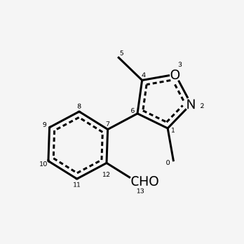 Cc1noc(C)c1-c1ccccc1C=O